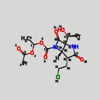 CC(OC(=O)C(C)C)OC(=O)N1C(=O)C2([C@@H](O)C(C)C)NC(=O)[C@H](CCCl)[C@H]12